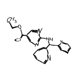 CCOC(=O)c1cnc(NC(c2ccccn2)c2ccccn2)nc1